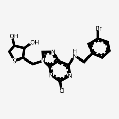 OC1CSC(Cn2cnc3c(NCc4cccc(Br)c4)nc(Cl)nc32)C1O